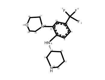 FC(F)(F)c1ccc(N[C@@H]2CCCNC2)c(N2CCOCC2)c1